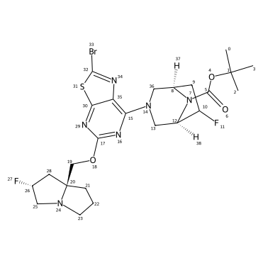 CC(C)(C)OC(=O)N1[C@@H]2CC(F)[C@H]1CN(c1nc(OC[C@@]34CCCN3C[C@H](F)C4)nc3sc(Br)nc13)C2